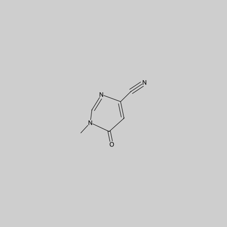 Cn1cnc(C#N)cc1=O